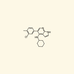 Cc1ccc(-c2cnc3[nH]ccc3c2NC2CCCCC2)cc1Cl